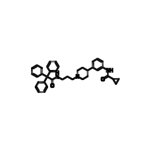 O=C(Nc1cccc(C2CCN(CCCNC(=O)C(c3ccccc3)(c3ccccc3)c3ccccc3)CC2)c1)C1CC1